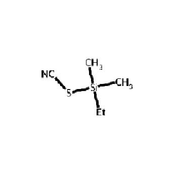 CC[Si](C)(C)SC#N